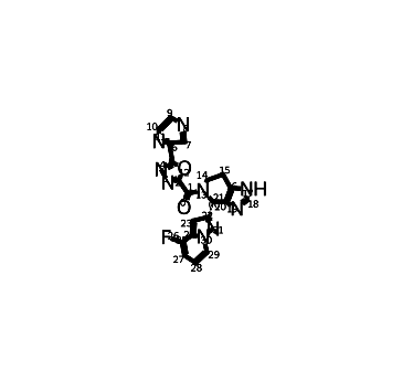 O=C(c1nnc(-c2cnccn2)o1)N1CCc2[nH]cnc2[C@@H]1c1cc2c(F)cccn2n1